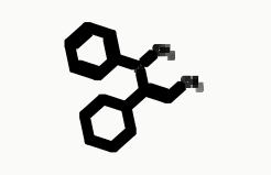 C/C=C(/C1CCCCC1)N(C)c1ccccc1